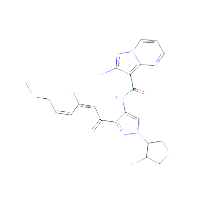 C=C(/C=C(Cl)\C=C/COC)c1nn(C2COCC2O)cc1NC(=O)c1c(N)nn2cccnc12